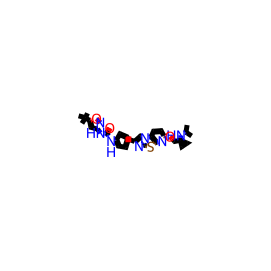 CC(C)NC1(COc2ccc3c(n2)sc2nc(-c4ccc(NC(=O)Nc5cc(C(C)(C)C)on5)cc4)cn23)CC1